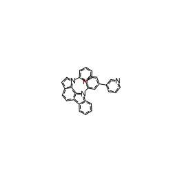 c1ccc(-n2ccc3ccc4c5ccccc5n(-c5cc(-c6cccnc6)ccn5)c4c32)cc1